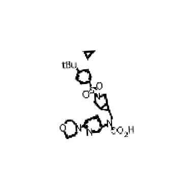 C1CC1.CC(C)(C)c1ccc(S(=O)(=O)N2CC3C(CN(C(=O)O)c4ccc(N5CCOCC5)nc4)C3C2)cc1